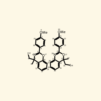 COc1ccc(C2=NC(C)(CI)c3ccccc3O2)cc1.COc1ccc(C2=Nc3ccccc3C(C)(CI)O2)cc1